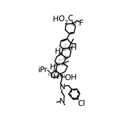 CC(C)[C@@H]1CC[C@]2([C@H](O)CN(CCN(C)C)Cc3ccc(Cl)cc3)CC[C@]3(C)[C@H](CC[C@@H]4[C@@]5(C)CC=C(C6=CC[C@](CF)(C(=O)O)CC6)C(C)(C)[C@@H]5CC[C@]43C)[C@@H]12